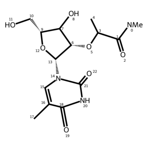 CNC(=O)C(C)O[C@H]1C(O)[C@@H](CO)O[C@H]1n1cc(C)c(=O)[nH]c1=O